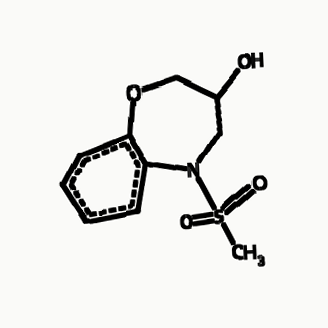 CS(=O)(=O)N1CC(O)COc2ccccc21